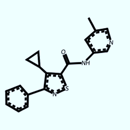 Cc1cncc(NC(=O)c2snc(-c3ccccc3)c2C2CC2)c1